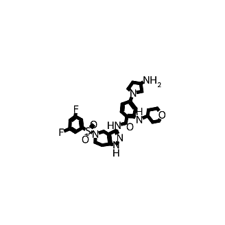 NC1CCN(c2ccc(C(=O)Nc3n[nH]c4c3CN(S(=O)(=O)c3cc(F)cc(F)c3)CC4)c(NC3CCOCC3)c2)C1